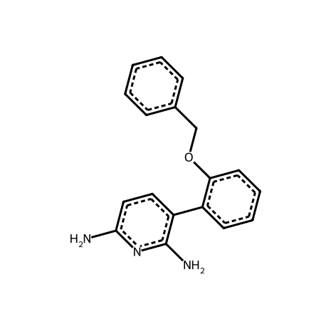 Nc1ccc(-c2ccccc2OCc2ccccc2)c(N)n1